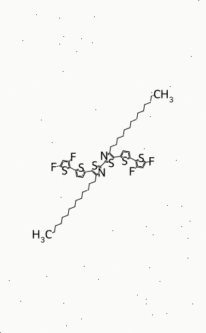 CCCCCCCCCCCCCCc1nc(-c2nc(CCCCCCCCCCCCCC)c(-c3ccc(-c4sc(F)cc4F)s3)s2)sc1-c1ccc(-c2sc(F)cc2F)s1